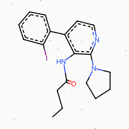 CCCC(=O)Nc1c(-c2ccccc2I)ccnc1N1CCCC1